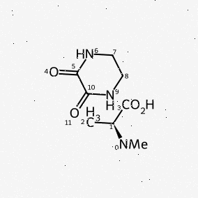 CN[C@@H](C)C(=O)O.O=C1NCCNC1=O